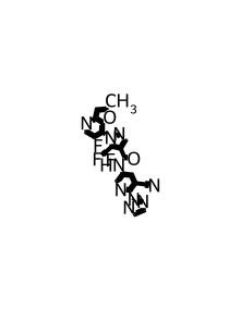 Cc1cc2nccc(-n3ncc(C(=O)Nc4cnc(-n5nccn5)c(C#N)c4)c3C(F)(F)F)c2o1